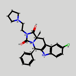 C[C@@]12Cc3c([nH]c4ccc(Cl)cc34)[C@@H](c3ccccc3)N1C(=O)N(CCN1CCCC1)C2=O